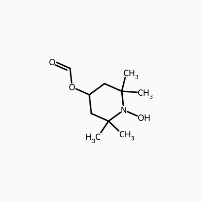 CC1(C)CC(OC=O)CC(C)(C)N1O